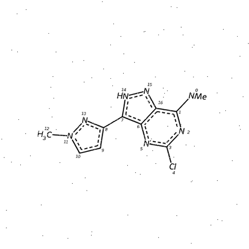 CNc1nc(Cl)nc2c(-c3ccn(C)n3)[nH]nc12